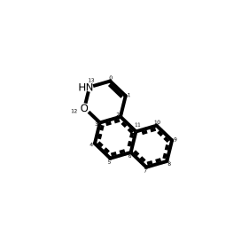 C1=Cc2c(ccc3ccccc23)ON1